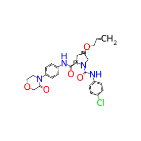 C=CCO[C@@H]1C[C@H](C(=O)Nc2ccc(N3CCOCC3=O)cc2)N(C(=O)Nc2ccc(Cl)cc2)C1